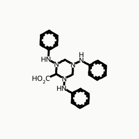 O=C(O)C1N(Nc2ccccc2)CN(Nc2ccccc2)CN1Nc1ccccc1